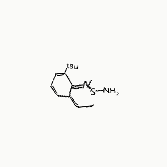 C/C=C1/C=CC=C(C(C)(C)C)/C1=N/SN